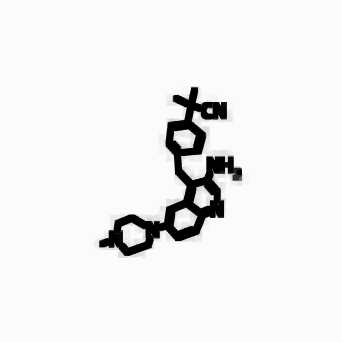 CN1CCN(c2ccc3ncc(N)c(Cc4ccc(C(C)(C)C#N)cc4)c3c2)CC1